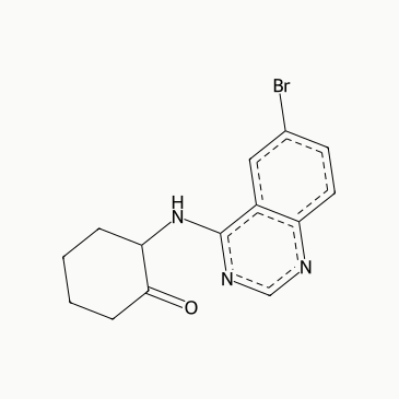 O=C1CCCCC1Nc1ncnc2ccc(Br)cc12